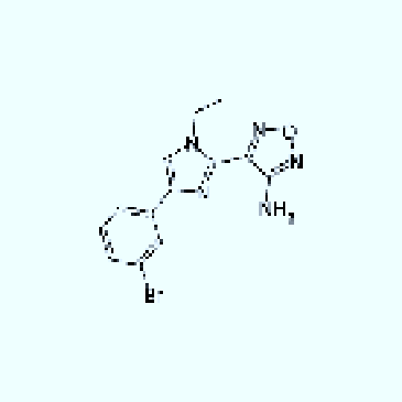 CCn1cc(-c2cccc(Br)c2)nc1-c1nonc1N